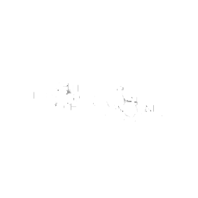 CC(C)(C)[Si](C)(C)OCC1CC=C(n2ccc(N)nc2=O)CC1